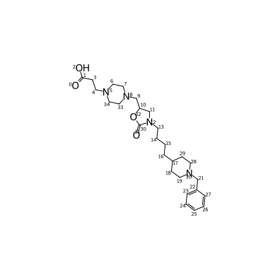 O=C(O)CCN1CCN(CC2CN(CCCCC3CCN(Cc4ccccc4)CC3)C(=O)O2)CC1